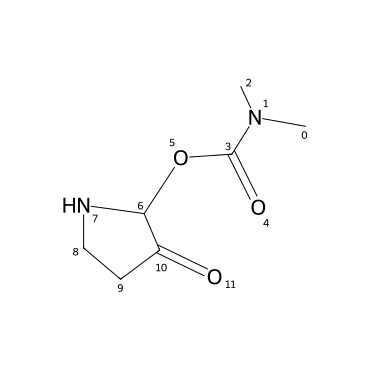 CN(C)C(=O)OC1NCCC1=O